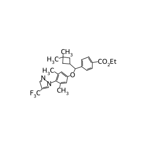 CCOC(=O)c1ccc(C(Oc2cc(C)c(-n3cc(C(F)(F)F)cn3)c(C)c2)C2CC(C)(C)C2)cc1